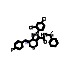 C[C@@H](NC(=O)c1c2c(nn1-c1ccc(Cl)cc1Cl)/C(=C/c1ccc(F)cc1)CSC2)c1ccccc1